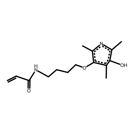 C=CC(=O)NCCCCOc1c(C)nc(C)c(O)c1C